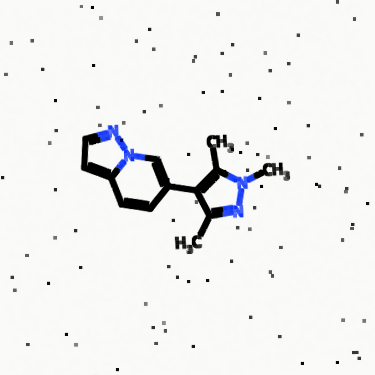 Cc1nn(C)c(C)c1-c1ccc2ccnn2c1